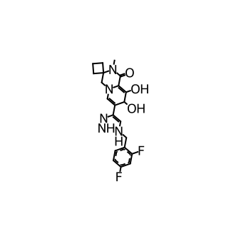 CN1C(=O)C2=C(O)C(O)C(/C(=C/NCc3ccc(F)cc3F)N=N)=CN2CC12CCC2